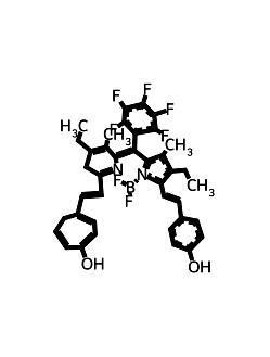 CCC1=C(C)/C(=C(\c2c(F)c(F)c(F)c(F)c2F)c2c(C)c(CC)c(/C=C/c3ccc(O)cc3)n2B(F)F)N=C(/C=C/C2=CC=C(O)C=CC2)C1